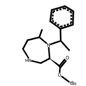 CC1CCNC[C@H](C(=O)OC(C)(C)C)N1C(C)c1ccccc1